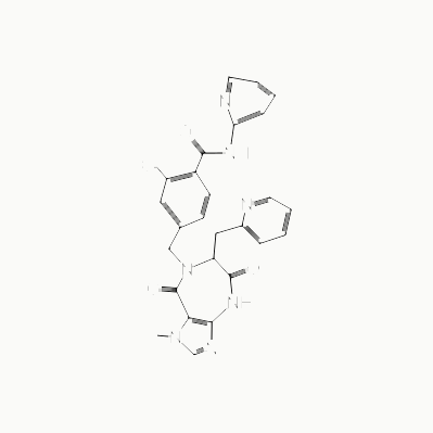 Cn1cnc2c1C(=O)N(Cc1ccc(C(=O)Nc3ccccn3)c(Cl)c1)C(Cc1ccccn1)C(=O)N2